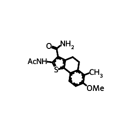 COc1ccc2c(c1C)CCc1c-2sc(NC(C)=O)c1C(N)=O